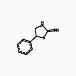 N=C1NCC(c2ccccc2)S1